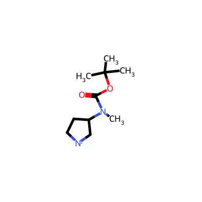 CN(C(=O)OC(C)(C)C)C1CC[N]C1